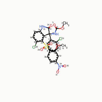 COC(=O)NC1(c2ccccc2Cl)C(=O)Nc2ccc(Cl)c(S(=O)(=O)c3ccc([N+](=O)[O-])cc3OC)c21